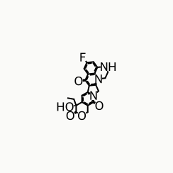 CC[C@@]1(O)C(=O)OCc2c1cc1n(c2=O)Cc2c-1c(=O)c1cc(F)cc3c1n2CCN3